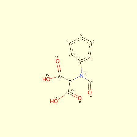 O=CN(c1ccccc1)C(C(=O)O)C(=O)O